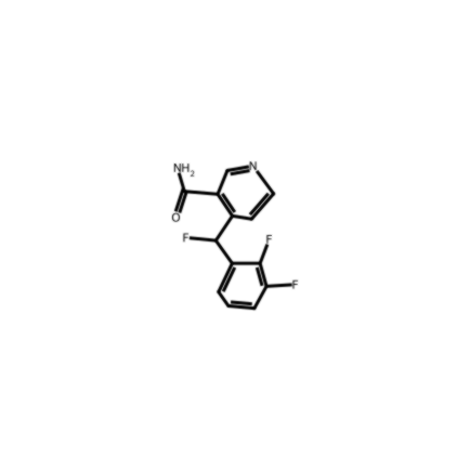 NC(=O)c1cnccc1C(F)c1cccc(F)c1F